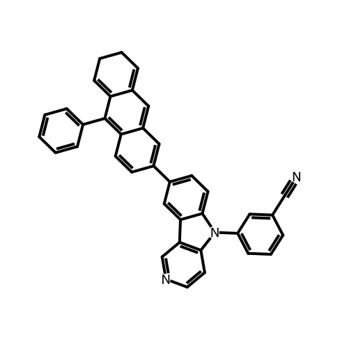 N#Cc1cccc(-n2c3ccncc3c3cc(-c4ccc5c(-c6ccccc6)c6c(cc5c4)=CCCC=6)ccc32)c1